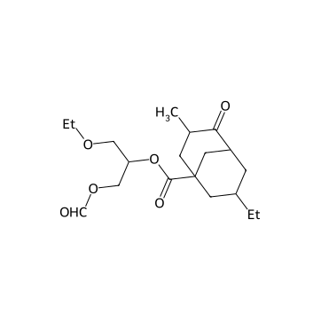 CCOCC(COC=O)OC(=O)C12CC(CC)CC(C1)C(=O)C(C)C2